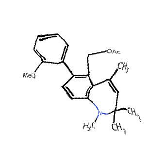 COc1ccccc1-c1ccc2c(c1COC(C)=O)C(C)=CC(C)(C)N2C